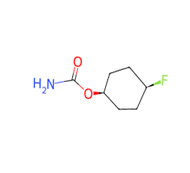 NC(=O)O[C@H]1CC[C@@H](F)CC1